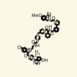 CCOc1cc(OC)ccc1CNCC(=O)N1CCCC(c2cccc(C(=O)N[C@@H](C(=O)N3CCC(CN4CCN(CC(=O)NCCNC[C@@H](C(=O)N5CCN(c6ncnc7c6[C@H](C)C[C@H]7O)CC5)c5ccc(Cl)cc5)CC4)CC3)C3CCCCC3)c2)C1